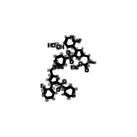 CN(Cc1cc(-c2cccnc2F)c(S(=O)(=O)c2ccncc2)s1)C(=O)OC(C)(C)C.CNCc1cc(-c2cccnc2F)c(S(=O)(=O)c2ccncc2)s1.Cl.Cl